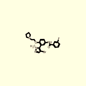 Cn1ncc(Br)c1-c1cc(NC(=O)c2cccc(F)c2)ccc1OCCN1CCCC1